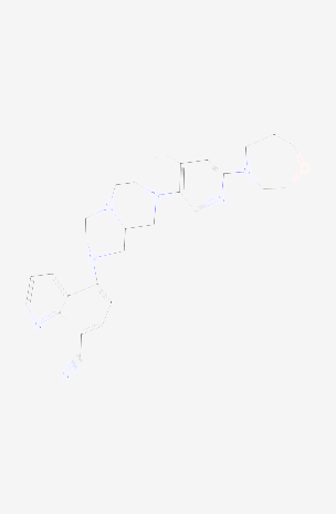 Cc1cc(N2CCCOCC2)ncc1N1CCN2CCN(c3ccc(C#N)c4ncccc34)CC2C1